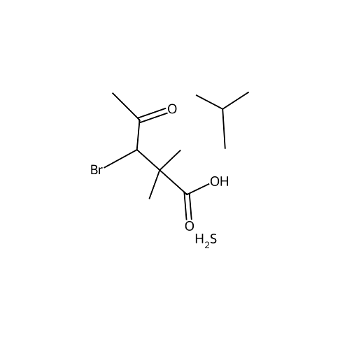 CC(=O)C(Br)C(C)(C)C(=O)O.CC(C)C.S